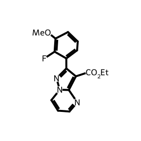 CCOC(=O)c1c(-c2cccc(OC)c2F)nn2cccnc12